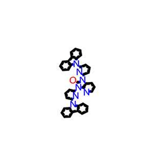 O=c1n(-c2cccc(-n3c4ccccc4c4ccccc43)n2)c2cccnc2n1-c1cccc(-n2c3ccccc3c3ccccc32)n1